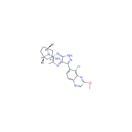 COc1cnc2ccc(-c3n[nH]c4nc(N5[C@@H]6CC[C@H]5C[C@@H](N)C6)c(C)nc34)c(Cl)c2n1